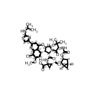 C=C[C@@H]1C[C@]1(NC(=O)[C@@H]1C[C@@H](Oc2cc(-c3csc(NC(C)C)n3)nc3c(Cl)c(OC)ccc23)CN1C(=O)[C@@H](NC(=O)O[C@@H]1C[C@@H]2C[C@@H]2C1)C(C)(C)C)C(=O)O